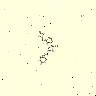 OC1(c2ccnc(OC3CCC3)c2)CC(OCc2ccccc2)C1